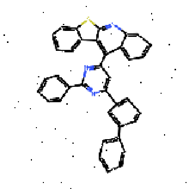 c1ccc(-c2cccc(-c3cc(-c4c5ccccc5nc5sc6ccccc6c45)nc(-c4ccccc4)n3)c2)cc1